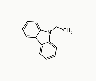 [CH2]Cn1c2ccccc2c2ccccc21